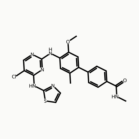 CNC(=O)c1ccc(-c2cc(OC)c(Nc3ncc(Cl)c(Nc4nccs4)n3)cc2C)cc1